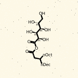 CCCCCCCCCCC(CCCCCCCC)CC(=O)OC(=O)[C@H](O)[C@@H](O)[C@H](O)[C@H](O)CO